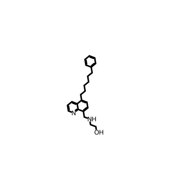 OCCNCc1ccc(CCCCCCc2ccccc2)c2cccnc12